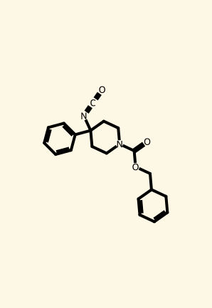 O=C=NC1(c2ccccc2)CCN(C(=O)OCC2C=CC=CC2)CC1